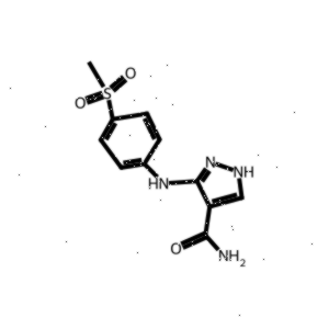 CS(=O)(=O)c1ccc(Nc2n[nH]cc2C(N)=O)cc1